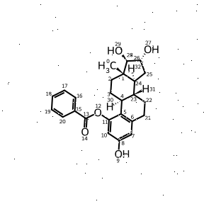 C[C@]12CC[C@@H]3c4c(cc(O)cc4OC(=O)c4ccccc4)CC[C@H]3[C@@H]1C[C@@H](O)[C@@H]2O